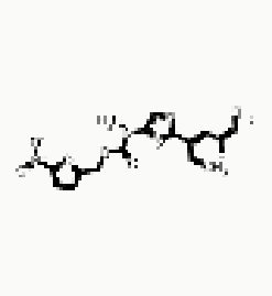 C=C/C(=C\C(F)=C/C)c1ncc(N(C)C(=O)OCc2ccc([N+](=O)[O-])o2)s1